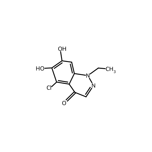 CCn1ncc(=O)c2c(Cl)c(O)c(O)cc21